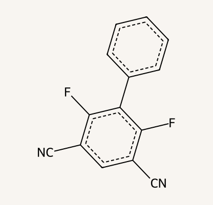 N#Cc1cc(C#N)c(F)c(-c2ccccc2)c1F